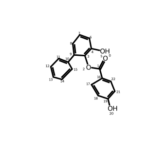 O=C(Oc1c(O)cccc1-c1ccccc1)c1ccc(O)cc1